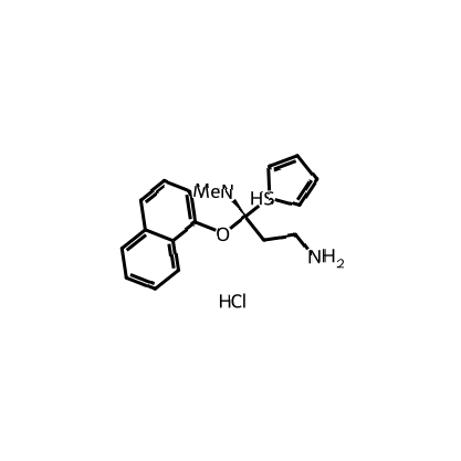 CN[C@@](CCN)(Oc1cccc2ccccc12)[SH]1C=CC=C1.Cl